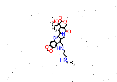 CC[C@@]1(O)C(=O)OCc2c1cc1n(c2=O)Cc2c-1nc1cc3c(cc1c2CNCCCNC)OCO3